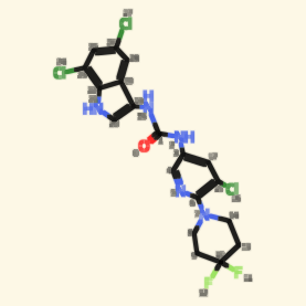 O=C(Nc1cnc(N2CCC(F)(F)CC2)c(Cl)c1)Nc1c[nH]c2c(Cl)cc(Cl)cc12